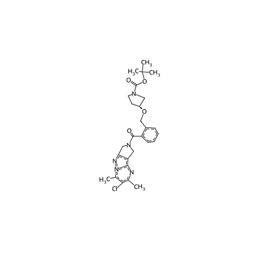 Cc1nc2c3c(nn2c(C)c1Cl)CN(C(=O)c1ccccc1CO[C@H]1CCN(C(=O)OC(C)(C)C)C1)C3